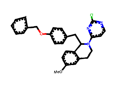 COc1ccc2c(c1)CCN(c1ccnc(Cl)n1)C2Cc1ccc(OCc2ccccc2)cc1